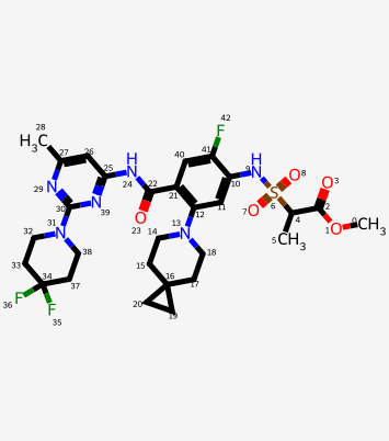 COC(=O)C(C)S(=O)(=O)Nc1cc(N2CCC3(CC2)CC3)c(C(=O)Nc2cc(C)nc(N3CCC(F)(F)CC3)n2)cc1F